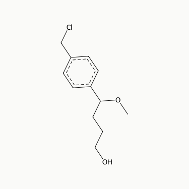 COC(CCCO)c1ccc(CCl)cc1